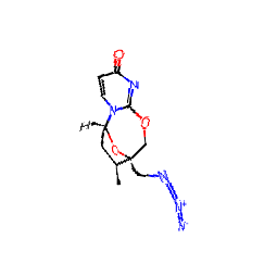 C[C@H]1C[C@H]2O[C@]1(CN=[N+]=[N-])COc1nc(=O)ccn12